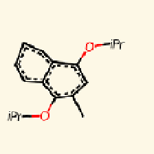 Cc1cc(OC(C)C)c2ccccc2c1OC(C)C